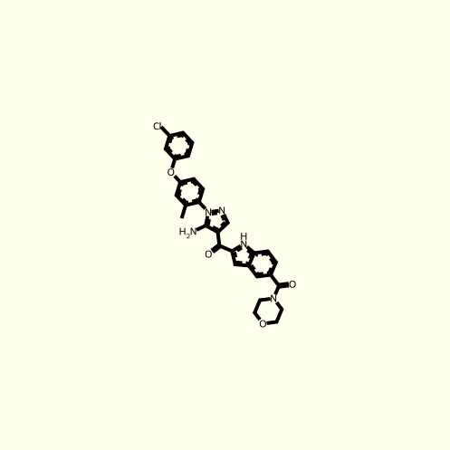 Cc1cc(Oc2cccc(Cl)c2)ccc1-n1ncc(C(=O)c2cc3cc(C(=O)N4CCOCC4)ccc3[nH]2)c1N